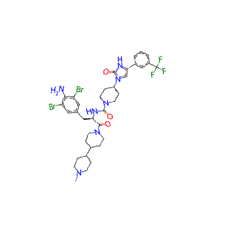 CN1CCC(C2CCN(C(=O)[C@@H](Cc3cc(Br)c(N)c(Br)c3)NC(=O)N3CCC(n4cc(-c5cccc(C(F)(F)F)c5)[nH]c4=O)CC3)CC2)CC1